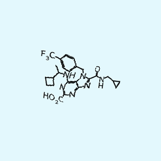 CC(Nc1nc(C(=O)O)nc2nc(C(=O)NCC3CC3)n(Cc3ccc(C(F)(F)F)cc3)c12)C1CCC1